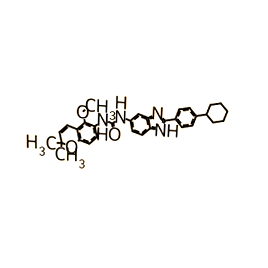 COc1c(NC(=O)Nc2ccc3[nH]c(-c4ccc(C5CCCCC5)cc4)nc3c2)ccc2c1C=CC(C)(C)O2